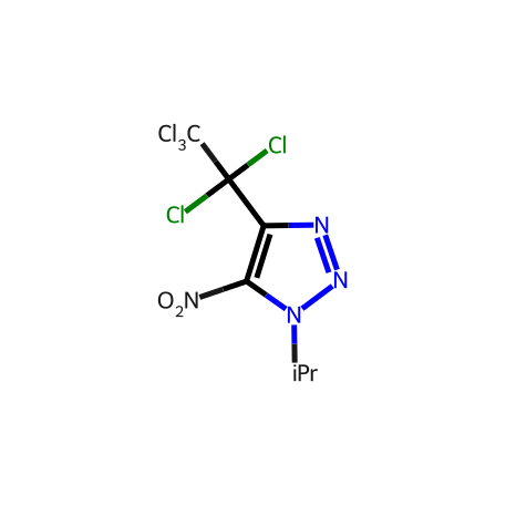 CC(C)n1nnc(C(Cl)(Cl)C(Cl)(Cl)Cl)c1[N+](=O)[O-]